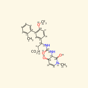 Cc1ccccc1-c1cc(C(CC(=O)O)NC(=O)NC2C(=O)C=CN(C)C2=O)ccc1OC(F)(F)F